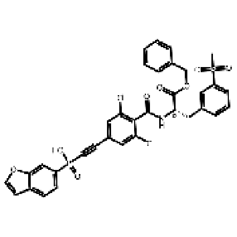 CS(=O)(=O)c1cccc(C[C@H](NC(=O)c2c(Cl)cc(C#CP(=O)(O)c3ccc4ccoc4c3)cc2Cl)C(=O)OCc2ccccc2)c1